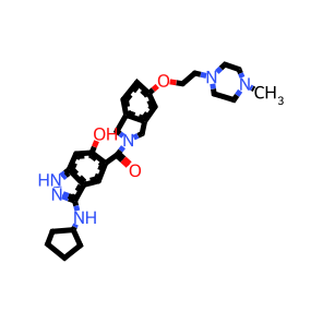 CN1CCN(CCOc2ccc3c(c2)CN(C(=O)c2cc4c(NC5CCCC5)n[nH]c4cc2O)C3)CC1